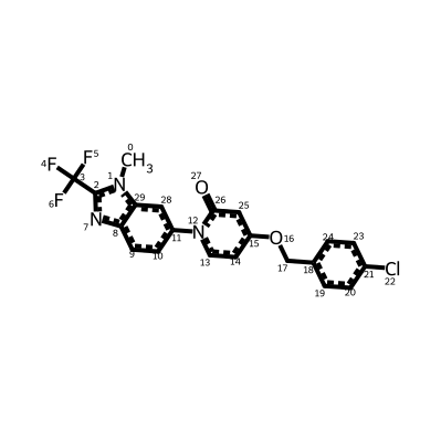 Cn1c(C(F)(F)F)nc2ccc(-n3ccc(OCc4ccc(Cl)cc4)cc3=O)cc21